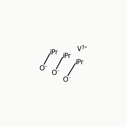 CC(C)[O-].CC(C)[O-].CC(C)[O-].[V+3]